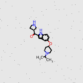 CC(C)N1CCC(Oc2ccc3[nH]c(C(=O)C4CCNC4)cc3c2)CC1